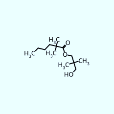 CCCCC(C)(C)C(=O)OCC(C)(C)CO